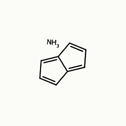 C1=CC2=CC=CC2=C1.N